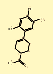 CC(=O)N1CC=C(c2cc(C)c(O)cc2C)CC1